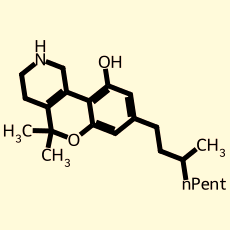 CCCCCC(C)CCc1cc(O)c2c(c1)OC(C)(C)C1=C2CNCC1